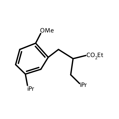 CCOC(=O)C(Cc1cc(C(C)C)ccc1OC)CC(C)C